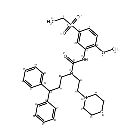 CCS(=O)(=O)c1ccc(OC)c(NC(=O)N(CCC(c2ccccc2)c2ccccc2)CCN2CCOCC2)c1